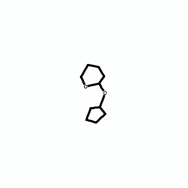 C1CCC(OC2CCCC2)OC1